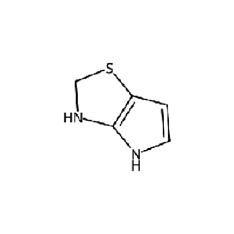 c1cc2c([nH]1)NCS2